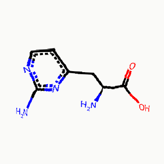 Nc1nccc(C[C@H](N)C(=O)O)n1